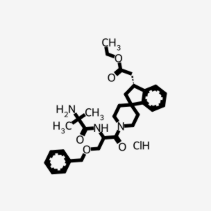 CCOC(=O)C[C@H]1CC2(CCN(C(=O)C(COCc3ccccc3)NC(=O)C(C)(C)N)CC2)c2ccccc21.Cl